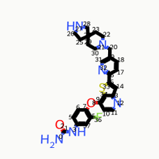 NC(=O)Nc1ccc(Oc2ccnc3cc(-c4ccc(CN5CCC6(CCNC6)CC5)cn4)sc23)c(F)c1